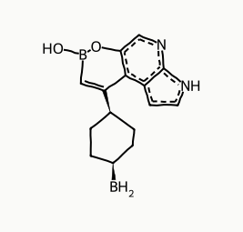 B[C@H]1CC[C@@H](C2=CB(O)Oc3cnc4[nH]ccc4c32)CC1